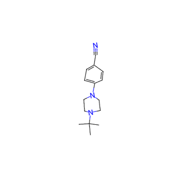 CC(C)(C)N1CCN(c2ccc(C#N)cc2)CC1